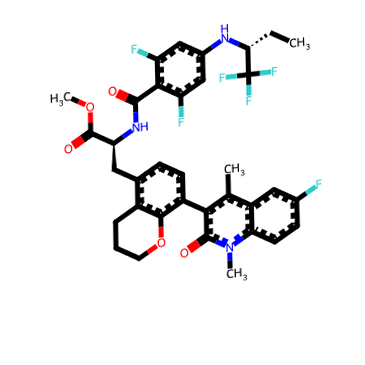 CC[C@@H](Nc1cc(F)c(C(=O)N[C@@H](Cc2ccc(-c3c(C)c4cc(F)ccc4n(C)c3=O)c3c2CCCO3)C(=O)OC)c(F)c1)C(F)(F)F